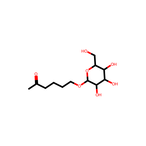 CC(=O)CCCCOC1OC(CO)C(O)C(O)C1O